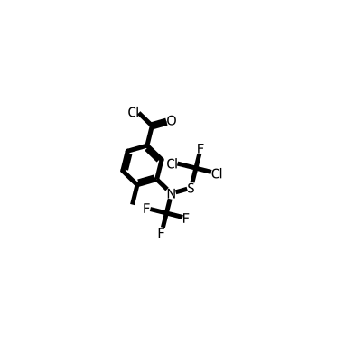 Cc1ccc(C(=O)Cl)cc1N(SC(F)(Cl)Cl)C(F)(F)F